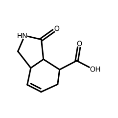 O=C(O)C1CC=CC2CNC(=O)C21